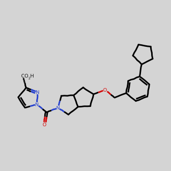 O=C(O)c1ccn(C(=O)N2CC3CC(OCc4cccc(C5CCCC5)c4)CC3C2)n1